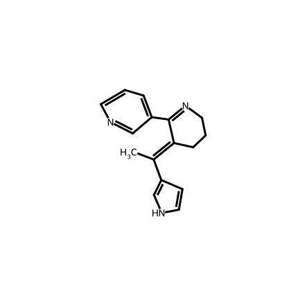 CC(=C1CCCN=C1c1cccnc1)c1cc[nH]c1